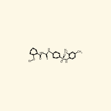 CCOc1ccccc1C(=O)NC(=S)Nc1ccc(S(=O)(=O)Nc2ccc(C)cc2C)cc1